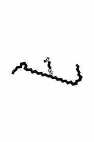 CCCCC/C=C\C/C=C\CCCCCCCCC(CCCCCCCC/C=C\C/C=C\CCCCC)=NOCCCN(C)C